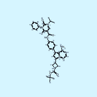 CC(C)n1cc(C(=O)Nc2ccc(-c3cc(C4CN(C(=O)OC(C)(C)C)C4)n4ncnc(N)c34)cc2)c(=O)n(-c2ccccc2)c1=O